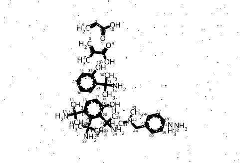 C=C(C)C(=O)O.C=CC(=O)O.CC(C)(N)c1ccc(O)c(C(C)(C)N)c1C(C)(C)N.CC(C)(N)c1ccccc1O.CN(C)Cc1ccccc1.N.N